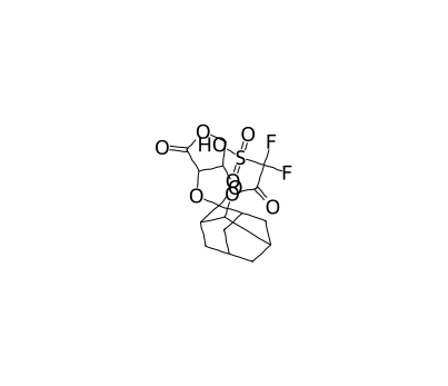 O=C1OCC2OC3(OC12)C1CC2CC(C1)C(OC(=O)C(F)(F)S(=O)(=O)O)C3C2